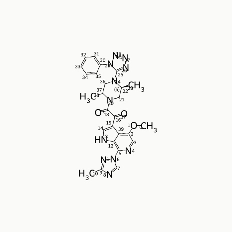 COc1cnc(-n2cnc(C)n2)c2[nH]cc(C(=O)C(=O)N3C[C@H](C)N(c4nnnn4-c4ccccc4)CC3C)c12